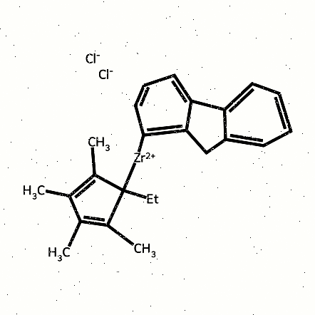 CC[C]1([Zr+2][c]2cccc3c2Cc2ccccc2-3)C(C)=C(C)C(C)=C1C.[Cl-].[Cl-]